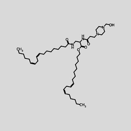 CCCCC/C=C\C/C=C\CCCCCCCCOC(=O)C(CNC(=O)CCCCCCC/C=C\C/C=C\CCCCC)NC(=O)CCN1CCN(CO)CC1